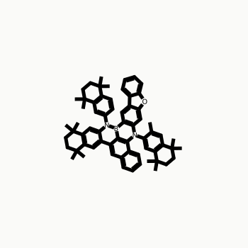 Cc1cc2c(cc1N1c3cc4oc5ccccc5c4cc3B3c4c(cc5ccccc5c41)-c1cc4c(cc1N3c1ccc3c(c1)C(C)(C)CCC3(C)C)C(C)(C)CCC4(C)C)C(C)(C)CCC2(C)C